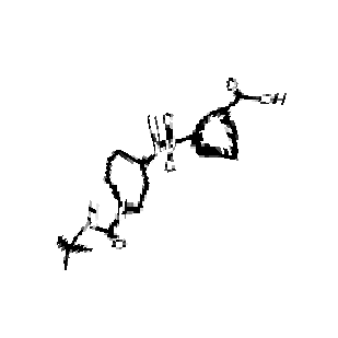 CC(C)(C)NC(=O)N1CCC(NS(=O)(=O)c2cccc(C(=O)O)c2)CC1